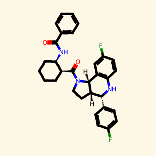 O=C(N[C@@H]1CCCC[C@@H]1C(=O)N1CC[C@H]2[C@@H](c3ccc(F)cc3)Nc3ccc(F)cc3[C@H]21)c1ccccc1